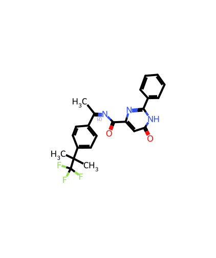 C/C(=N/C(=O)c1cc(=O)[nH]c(-c2ccccc2)n1)c1ccc(C(C)(C)C(F)(F)F)cc1